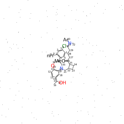 CCCc1cc(Cl)ccc1C1COc2ccc(C(C)O)cc2N(CC2CCC2C(CCCCN(C)C(C)=O)OC)C1